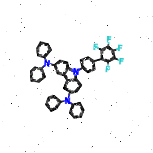 Fc1c(F)c(F)c(-c2ccc(-n3c4ccc(N(c5ccccc5)c5ccccc5)cc4c4cc(N(c5ccccc5)c5ccccc5)ccc43)cc2)c(F)c1F